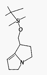 CC(C)(C)[Si](C)(C)OCC1CCN2CCC=C12